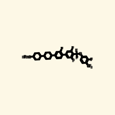 CCCCCC1CCC(C2CCC(c3ccc(-c4cc(F)c(C(F)(F)Oc5ccc(C(F)(F)F)c(F)c5)c(F)c4)c(F)c3)CC2)CC1